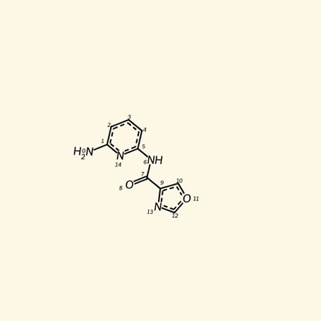 Nc1cccc(NC(=O)c2cocn2)n1